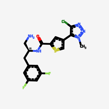 Cn1nnc(Cl)c1-c1csc(C(=O)N[C@H](CN)Cc2cc(F)cc(F)c2)c1